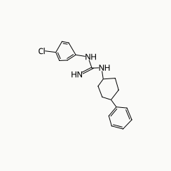 N=C(Nc1ccc(Cl)cc1)NC1CCC(c2ccccc2)CC1